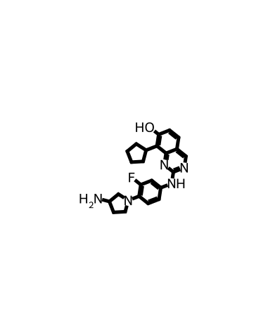 NC1CCN(c2ccc(Nc3ncc4ccc(O)c(C5CCCC5)c4n3)cc2F)C1